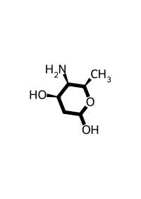 C[C@H]1OC(O)C[C@@H](O)[C@H]1N